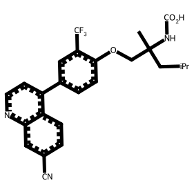 CC(C)CC(C)(COc1ccc(-c2ccnc3cc(C#N)ccc23)cc1C(F)(F)F)NC(=O)O